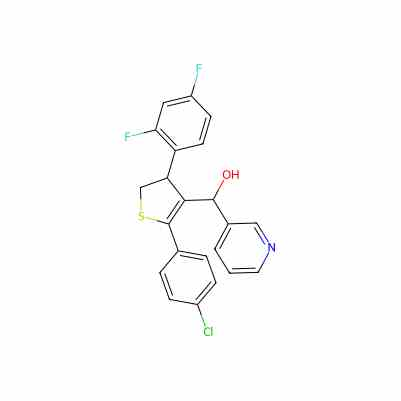 OC(C1=C(c2ccc(Cl)cc2)SCC1c1ccc(F)cc1F)c1cccnc1